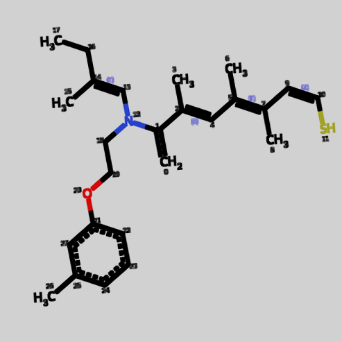 C=C(/C(C)=C/C(C)=C(C)/C=C\S)N(/C=C(\C)CC)CCOc1cccc(C)c1